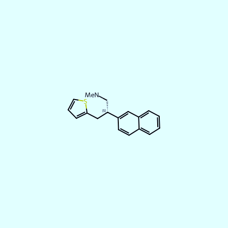 CNC[C@@H](Cc1cccs1)c1ccc2ccccc2c1